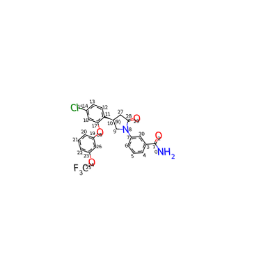 NC(=O)c1cccc(N2C[C@@H](c3ccc(Cl)cc3Oc3cccc(OC(F)(F)F)c3)CC2=O)c1